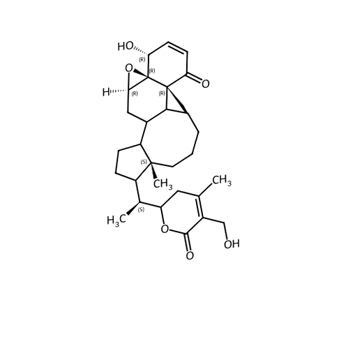 CC1=C(CO)C(=O)OC([C@@H](C)C2CCC3C4C[C@H]5O[C@]56[C@H](O)C=CC(=O)[C@@]65C(CCC[C@@]32C)C45)C1